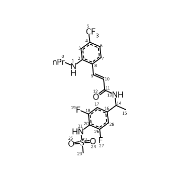 CCCNc1cc(C(F)(F)F)ccc1C=CC(=O)NC(C)c1cc(F)c(NS(C)(=O)=O)c(F)c1